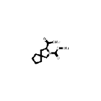 COC(=O)C1CC2(CCCC2)CN1C(=O)OC(C)(C)C